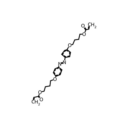 C=CC(=O)OCCCCOc1ccc(/N=N/c2ccc(OCCCCOC(=O)C=C)cc2)cc1